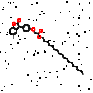 CCCCCCCCCCCCCCCCCCOC(=O)COc1ccc(C2C(=O)Oc3ccc(C)cc32)cc1